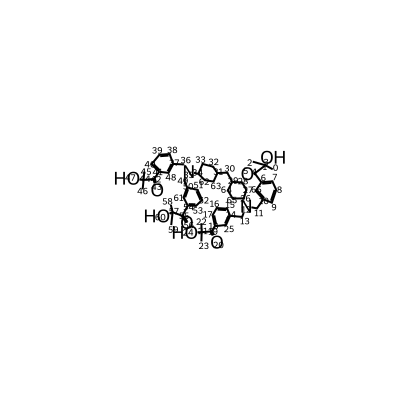 CC(C)(O)C(=O)c1cccc(CN(Cc2cccc(C(=O)C(C)(C)O)c2)C2CCC(CC3CCC(N(Cc4cccc(C(=O)C(C)(C)O)c4)Cc4cccc(C(=O)C(C)(C)O)c4)CC3)CC2)c1